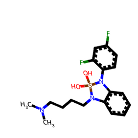 CN(C)CCCCN1c2ccccc2N(c2ccc(F)cc2F)S1(O)O